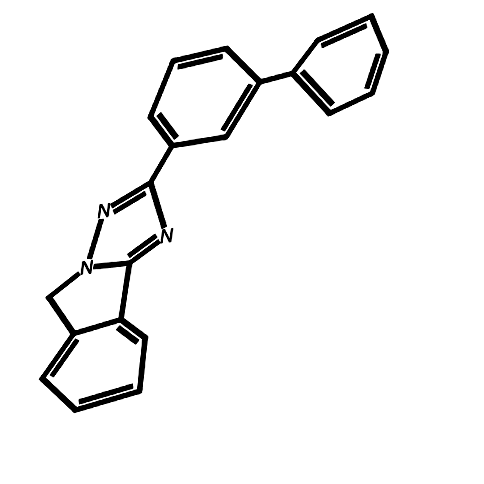 c1ccc(-c2cccc(-c3nc4n(n3)Cc3ccccc3-4)c2)cc1